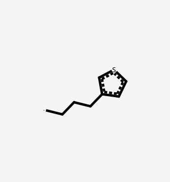 [CH2]CCCc1ccsc1